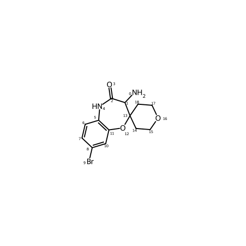 NC1C(=O)Nc2ccc(Br)cc2OC12CCOCC2